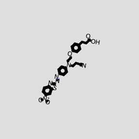 N#CCCN(CCOc1ccc(CCC(=O)O)cc1)c1ccc(/N=N/c2nc3ccc([N+](=O)[O-])cc3s2)cc1